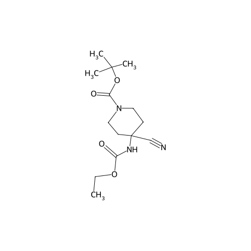 CCOC(=O)NC1(C#N)CCN(C(=O)OC(C)(C)C)CC1